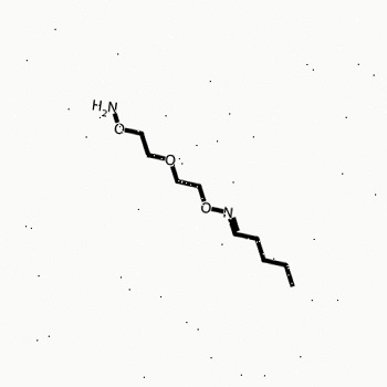 CCCC/C=N/OCCOCCON